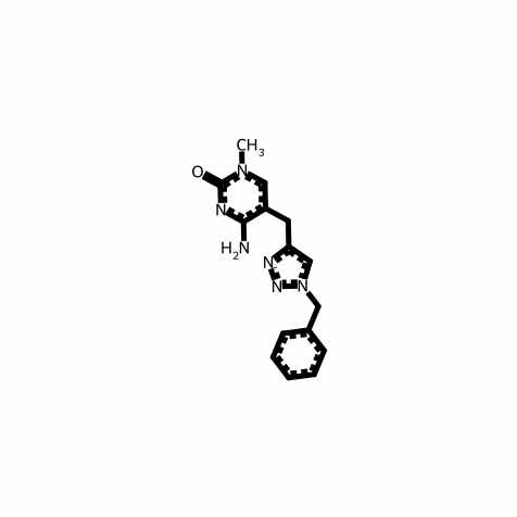 Cn1cc(Cc2cn(Cc3ccccc3)nn2)c(N)nc1=O